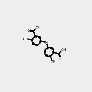 O=C(O)c1cc(Nc2ccc(O)c(C(=O)O)c2)ccc1O